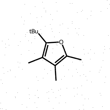 Cc1oc(C(C)(C)C)c(C)c1C